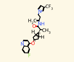 C=C(CCn1ccc(C(F)(F)F)c1)NC(=O)C(C)[C@H]1[C@@H]2C[C@@H](Oc3ccnc4ccc(F)cc34)C[C@@H]21